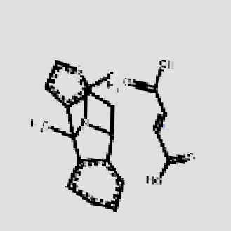 CCN1C2Cc3sccc3C1(C)c1ccccc12.O=C(O)/C=C/C(=O)O